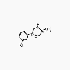 C[C@H]1CO[C@@H](c2cccc(Cl)c2)CN1